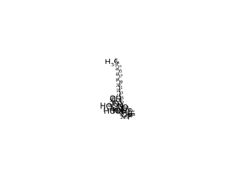 CCCCCCCCCCCCCCCCCCN(C(=O)Nc1cccc(C(F)(F)F)c1)[C@@H]1O[C@H](CO)[C@@H](O)[C@H](O)[C@H]1O